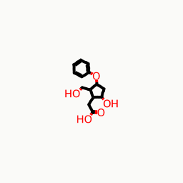 O=C(O)CC1C(O)CC(Oc2ccccc2)C1CO